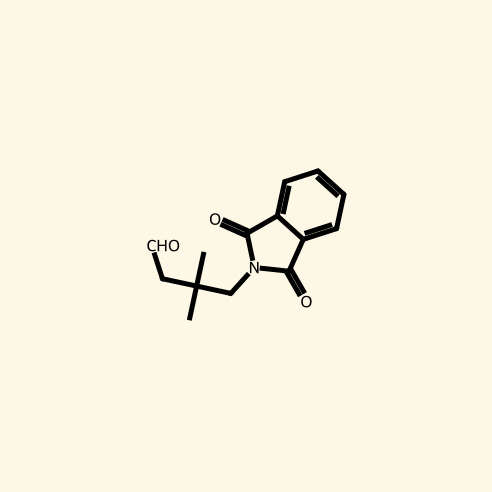 CC(C)(CC=O)CN1C(=O)c2ccccc2C1=O